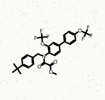 COC(=O)C(=O)N(Cc1ccc(C(C)(C)C)cc1)c1ccc(-c2ccc(OC(F)(F)F)cc2)cc1OC(F)(F)F